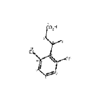 CC(CC(=O)O)c1c(Cl)cccc1Cl